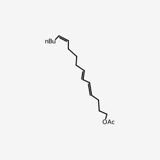 CCCC/C=C\CCC/C=C/C=C/CCCOC(C)=O